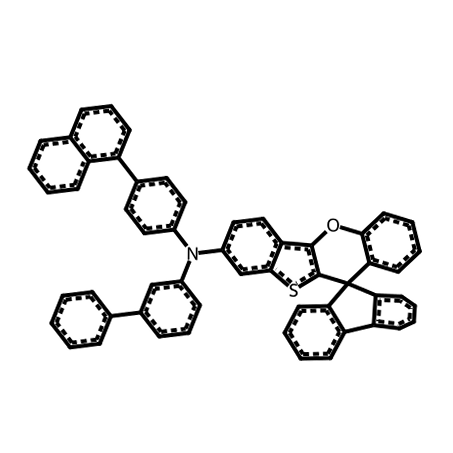 c1ccc(-c2cccc(N(c3ccc(-c4cccc5ccccc45)cc3)c3ccc4c5c(sc4c3)C3(c4ccccc4O5)c4ccccc4-c4ccccc43)c2)cc1